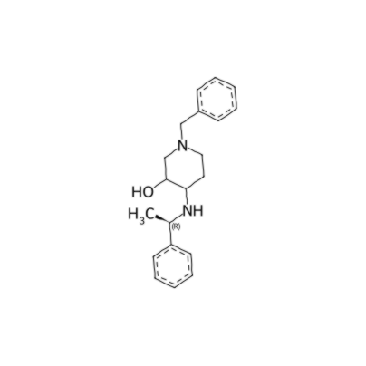 C[C@@H](NC1CCN(Cc2ccccc2)CC1O)c1ccccc1